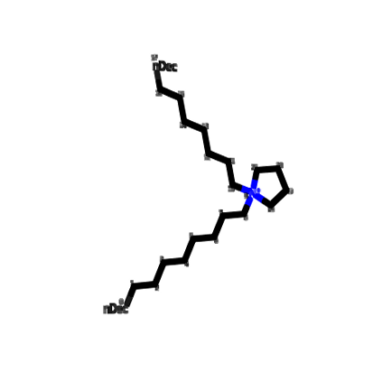 CCCCCCCCCCCCCCCCCC[N+]1(CCCCCCCCCCCCCCCCC)CCCC1